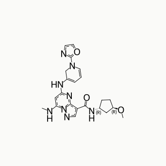 CNc1cc(NC2=CC=CN(c3ncco3)C2)nc2c(C(=O)N[C@@H]3CC[C@@H](OC)C3)cnn12